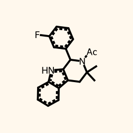 CC(=O)N1C(c2cccc(F)c2)c2[nH]c3ccccc3c2CC1(C)C